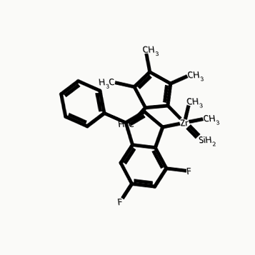 CC1=C(C)C(C)[C]([Zr]([CH3])([CH3])(=[SiH2])[CH]2C=C(c3ccccc3)c3cc(F)cc(F)c32)=C1C